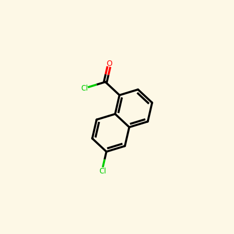 O=C(Cl)c1cccc2cc(Cl)ccc12